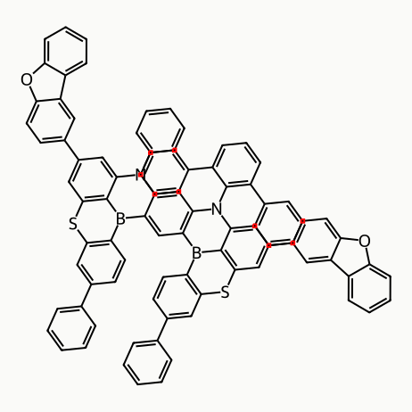 c1ccc(-c2ccc3c(c2)Sc2cc(-c4ccc5oc6ccccc6c5c4)cc4c2B3c2cc3c(cc2N4c2ccccc2)N(c2c(-c4ccccc4)cccc2-c2ccccc2)c2cc(-c4ccc5oc6ccccc6c5c4)cc4c2B3c2ccc(-c3ccccc3)cc2S4)cc1